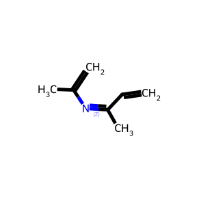 C=C/C(C)=N\C(=C)C